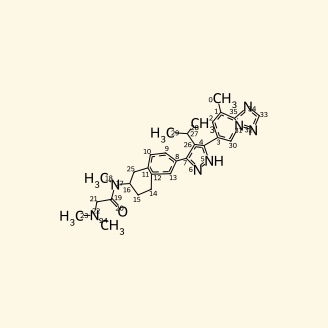 Cc1cc(-c2[nH]nc(-c3ccc4c(c3)CCC(N(C)C(=O)CN(C)C)C4)c2C(C)C)cn2ncnc12